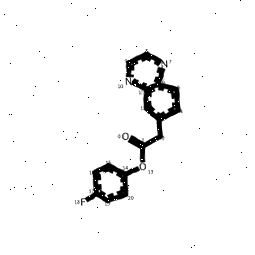 O=C(Cc1ccc2nccnc2c1)Oc1ccc(F)cc1